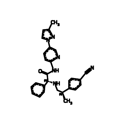 Cc1ccn(-c2ccc(NC(=O)[C@H](NC[C@H](C)c3ccc(C#N)cc3)c3ccccc3)nc2)n1